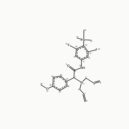 C=CCN(CC=C)C(C(=O)Nc1cc(F)c([Si](C)(C)C)c(F)c1)c1ccc(OC)cc1